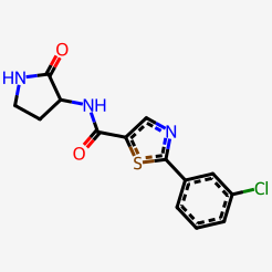 O=C(NC1CCNC1=O)c1cnc(-c2cccc(Cl)c2)s1